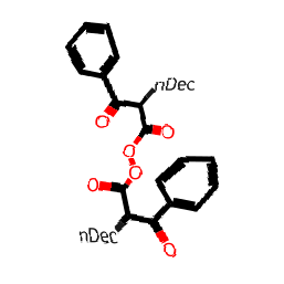 CCCCCCCCCCC(C(=O)OOC(=O)C(CCCCCCCCCC)C(=O)c1ccccc1)C(=O)c1ccccc1